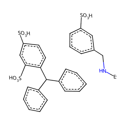 CCNCc1cccc(S(=O)(=O)O)c1.O=S(=O)(O)c1ccc(C(c2ccccc2)c2ccccc2)c(S(=O)(=O)O)c1